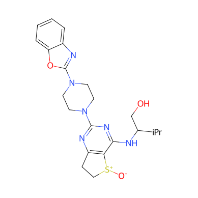 CC(C)C(CO)Nc1nc(N2CCN(c3nc4ccccc4o3)CC2)nc2c1[S+]([O-])CC2